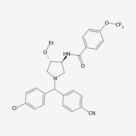 CCO[C@H]1CN(C(c2ccc(Cl)cc2)c2ccc(C#N)cc2)C[C@@H]1NC(=O)c1ccc(OC(F)(F)F)cc1